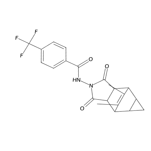 CC1=C(C)C2C3CC3C1C1C(=O)N(NC(=O)c3ccc(C(F)(F)F)cc3)C(=O)C21